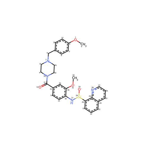 COc1ccc(CN2CCN(C(=O)c3ccc(N[S+]([O-])c4cccc5cccnc45)c(OC)c3)CC2)cc1